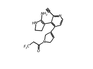 C#Cc1nccc(C2=CCN(C(=O)CC(F)(F)F)C2)c1C1=C(N)NCC1